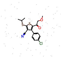 COCC(=O)c1sc(SC(C)C)c(C#N)c1-c1ccc(Cl)cc1